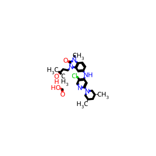 C[C@@H]1C[C@H](C)CN(c2cc(Nc3ccc4c(c3)n(CCC(C)(C)O)c(=O)n4C)c(Cl)cn2)C1.O=CO